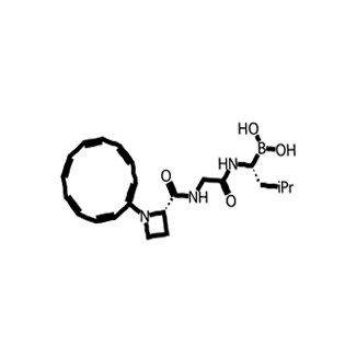 CC(C)C[C@H](NC(=O)CNC(=O)[C@@H]1CCN1C1=C/C=C\C=C/C=C\C=C/C=C\1)B(O)O